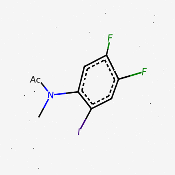 CC(=O)N(C)c1cc(F)c(F)cc1I